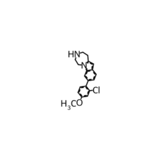 COc1ccc(-c2ccc3cc4n(c3c2)CCNCC4)c(Cl)c1